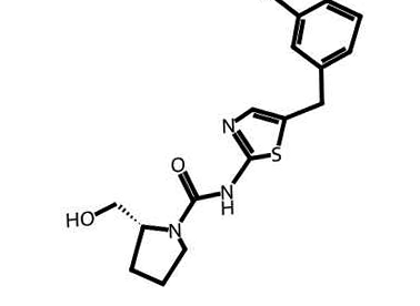 O=C(Nc1ncc(Cc2cccc(F)c2)s1)N1CCC[C@@H]1CO